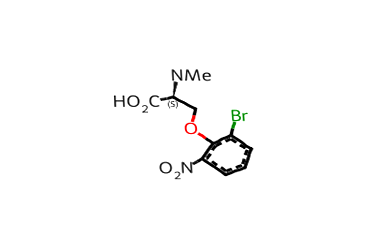 CN[C@@H](COc1c(Br)cccc1[N+](=O)[O-])C(=O)O